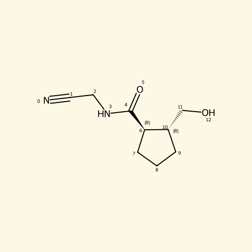 N#CCNC(=O)[C@@H]1CCC[C@H]1CO